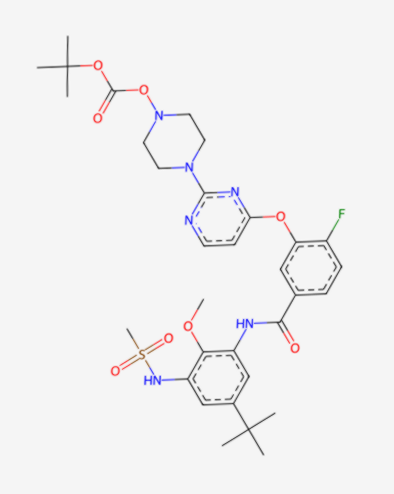 COc1c(NC(=O)c2ccc(F)c(Oc3ccnc(N4CCN(OC(=O)OC(C)(C)C)CC4)n3)c2)cc(C(C)(C)C)cc1NS(C)(=O)=O